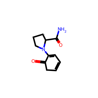 NC(=O)C1[CH]CCN1C1=CC=CCC1=O